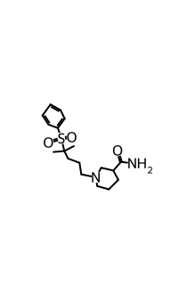 CC(C)(CCCN1CCCC(C(N)=O)C1)S(=O)(=O)c1ccccc1